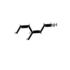 C/C=C\C(C)=C/C=N